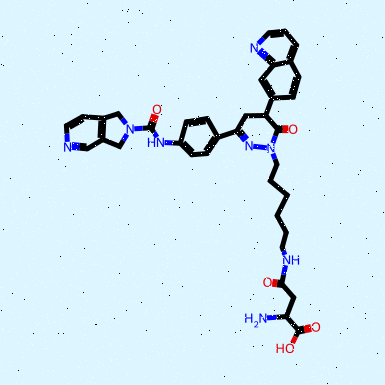 NC(CC(=O)NCCCCCCN1N=C(c2ccc(NC(=O)N3Cc4ccncc4C3)cc2)CC(c2ccc3cccnc3c2)C1=O)C(=O)O